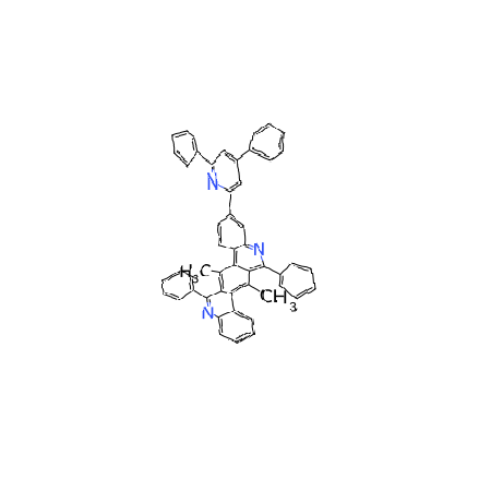 Cc1c2c(-c3ccccc3)nc3cc(-c4cc(-c5ccccc5)cc(-c5ccccc5)n4)ccc3c2c(C)c2c(-c3ccccc3)nc3ccccc3c12